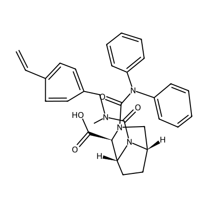 C=Cc1ccc(CN(C)C(=O)N2[C@H]3CC[C@@H]2[C@@H](C(=O)O)N(C(=O)N(c2ccccc2)c2ccccc2)C3)cc1